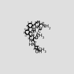 COc1nc(-c2cccc(-c3cccc(-c4cnc(CNC5CC(C)(O)C5)c(OC)n4)c3Cl)c2Cl)cnc1CN